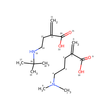 C=C(CCCN(C)C)C(=O)O.C=C(CCNC(C)(C)C)C(=O)O